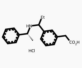 CCC(N[C@H](C)c1ccccc1)c1cccc(CC(=O)O)c1.Cl